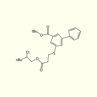 CCCCC(CC)COC(=O)CCSc1cc(C(=O)OC(C)(C)C)cc(-c2ccccc2)c1